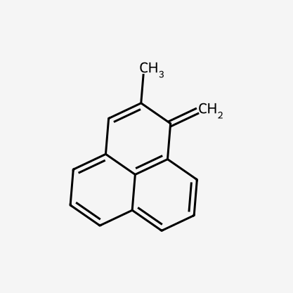 C=c1c(C)cc2cccc3cccc1c32